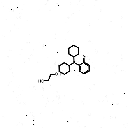 CC(=O)c1ccccc1P(C1CCCCC1)C1CCCCC1.OCCO